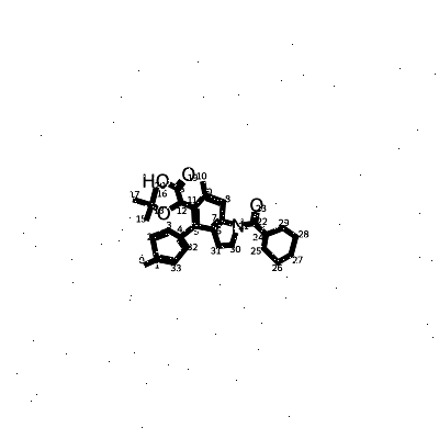 Cc1ccc(-c2c3c(cc(C)c2C(OC(C)(C)C)C(=O)O)N(C(=O)C2CCCCC2)CC3)cc1